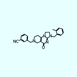 Cc1ccccc1CN1CCn2c1nc(=O)c1c2CCN(Cc2cccc(C#N)c2)C1